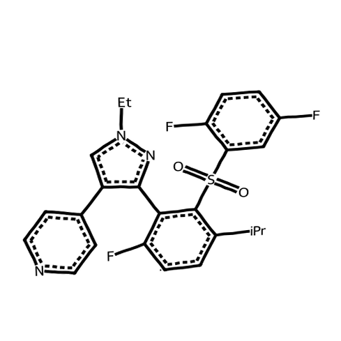 CCn1cc(-c2ccncc2)c(-c2c(F)[c]cc(C(C)C)c2S(=O)(=O)c2cc(F)ccc2F)n1